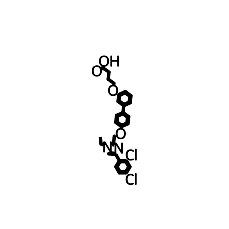 CCn1cc(-c2ccc(Cl)cc2Cl)nc1COc1ccc(-c2cccc(OCCCC(=O)O)c2)cc1